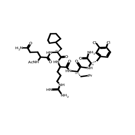 CC(=O)NC(CCC(N)=O)C(=O)N[C@@H](CC1CCCCC1)C(=O)NC(CCCNC(=N)N)C(=O)N[C@@H](CC(C)C)C(=O)N[C@@H](Cc1ccc(Cl)c(Cl)c1)C(N)=O